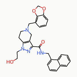 O=C(NCc1cccc2ccccc12)c1nn(CCO)c2c1CN(Cc1cccc3c1OCO3)CC2